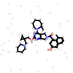 Cc1cccc2cc(O)cc(C(=O)N3Cc4nc(OCC5(CN6CCCCC6)CC5)nc(N5CCCCCC5C)c4C3)c12